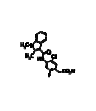 Cc1c(C(=O)Nc2cc(F)c(CC(=O)O)cc2Cl)c2ccccc2n1C